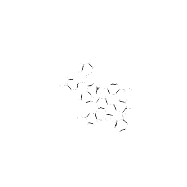 CC(C)(C)C1=CCC(N(c2ccc(C(C)(C)C)cc2)c2ccc3c4c(-c5cc(C#N)ccc5C#N)c5c(cc6c7ccccc7c7cccc5c76)c(-c5cc(C#N)ccc5C#N)c4c4cccc2c43)C=C1